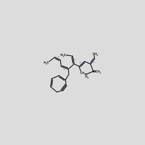 C=C(N)C(=C/C)/C=C(C)/C(=C/C)C(=C\C=C/C)/CC1=CC=CCC#C1